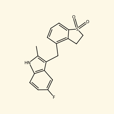 Cc1[nH]c2ccc(F)cc2c1Cc1cccc2c1CCS2(=O)=O